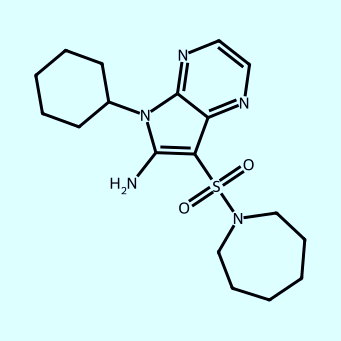 Nc1c(S(=O)(=O)N2CCCCCC2)c2nccnc2n1C1CCCCC1